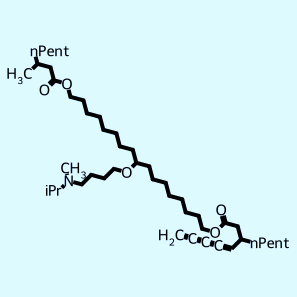 C=C=C=C=CC(CCCCC)CC(=O)OCCCCCCCCC(CCCCCCCCOC(=O)CC(C)CCCCC)OCCCCN(C)C(C)C